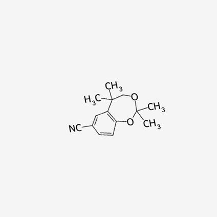 CC1(C)OCC(C)(C)c2cc(C#N)ccc2O1